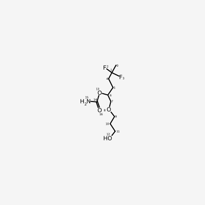 CC(F)(F)CCC(COCCCO)OC(N)=O